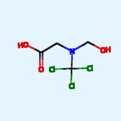 O=C(O)CN(CO)C(Cl)(Cl)Cl